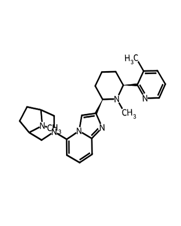 Cc1cccnc1[C@@H]1CCC[C@H](c2cn3c(N4CC5CCC(C4)N5C)cccc3n2)N1C